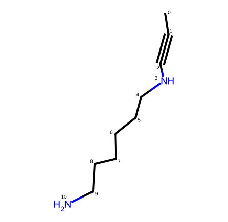 CC#CNCCCCCCN